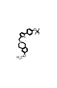 COc1ccc2c(c1)CCN(Cc1ccc(-c3ccc(OC(F)(F)F)cc3)s1)CC2